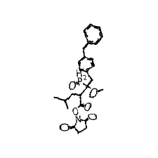 COC(Cc1ccc(Cc2ccccc2)cc1)([PH2]=O)C(CC(C)C)C(=O)ON1C(=O)CCC1=O